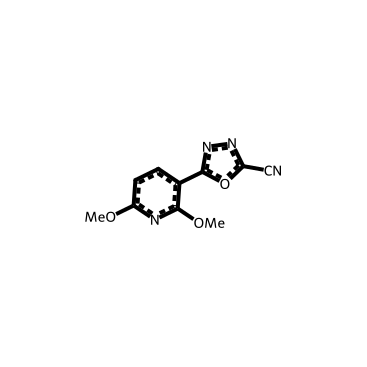 COc1ccc(-c2nnc(C#N)o2)c(OC)n1